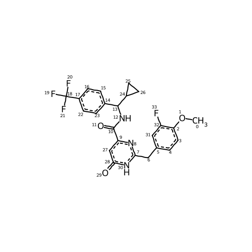 COc1ccc(Cc2nc(C(=O)NC(c3ccc(C(F)(F)F)cc3)C3CC3)cc(=O)[nH]2)cc1F